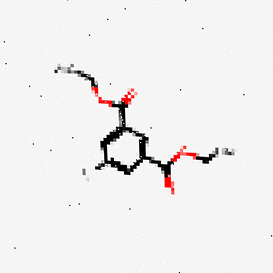 CC(=O)OCOC(=O)c1cc(C)cc(C(=O)OCOC(C)=O)c1